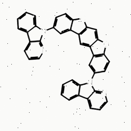 c1ccc2c(c1)c1cccnc1n2-c1ccc2oc3cc4oc5ccc(-n6c7ccccc7c7cccnc76)cc5c4cc3c2c1